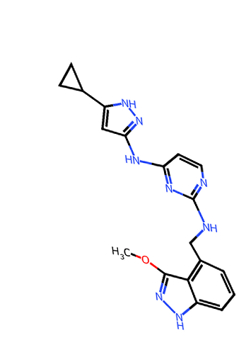 COc1n[nH]c2cccc(CNc3nccc(Nc4cc(C5CC5)[nH]n4)n3)c12